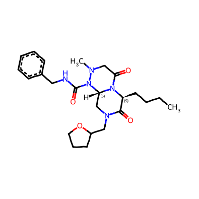 CCCC[C@H]1C(=O)N(CC2CCCO2)C[C@H]2N1C(=O)CN(C)N2C(=O)NCc1ccccc1